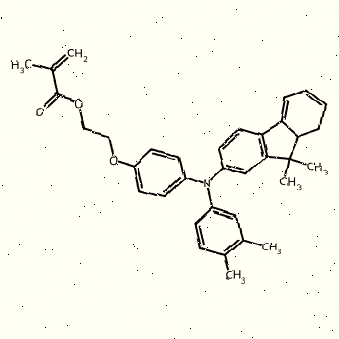 C=C(C)C(=O)OCCOc1ccc(N(c2ccc(C)c(C)c2)c2ccc3c(c2)C(C)(C)C2CC=CC=C32)cc1